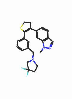 Cn1ncc2ccc(C3=C(c4cccc(CN5CCC(F)(F)C5)c4)SCC3)cc21